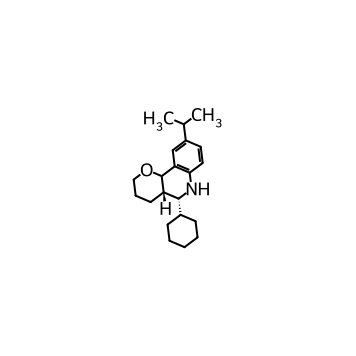 CC(C)c1ccc2c(c1)C1OCCC[C@H]1[C@@H](C1CCCCC1)N2